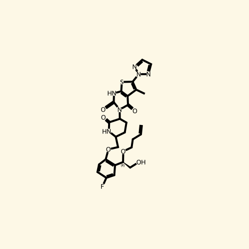 C=CCCO[C@@H](CO)c1cc(F)ccc1OCC1CCC(n2c(=O)[nH]c3sc(-n4nccn4)c(C)c3c2=O)C(=O)N1